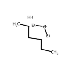 CCCCCC.C[CH2][Al][CH2]C.[HH]